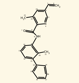 C=Cc1cnc(C(=O)Nc2cccc(-c3ccccc3)c2C)c(C)c1